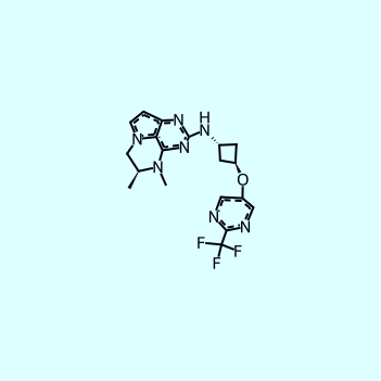 C[C@H]1Cn2ccc3nc(N[C@H]4C[C@H](Oc5cnc(C(F)(F)F)nc5)C4)nc(c32)N1C